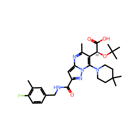 Cc1cc(CNC(=O)c2cc3nc(C)c([C@H](OC(C)(C)C)C(=O)O)c(N4CCC(C)(C)CC4)n3n2)ccc1F